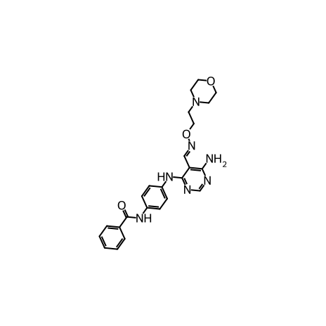 Nc1ncnc(Nc2ccc(NC(=O)c3ccccc3)cc2)c1/C=N/OCCN1CCOCC1